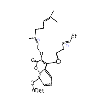 CC/C=C/CCOc1c(OC/C=C(\C)CCC=C(C)C)c(=O)oc2c(OCCCCCCCCCC)cccc12